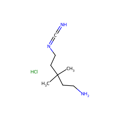 CC(C)(CCN)CCN=C=N.Cl